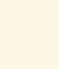 CC(O)c1cccc(-c2cnc3[nH]cc(C=CC(N)=O)c3c2)c1